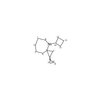 C[C@@H]1CC12CCCCCN2C1CCC1